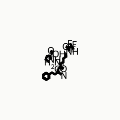 N#CC(CCc1ccccc1)OC(=O)[C@@H](N)CCCCNC(=O)C(F)(F)F.O=C(O)[C@@H]1CCCN1